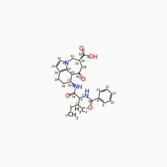 CCC(C)C(NC(=O)c1ccccc1)C(=O)N[C@H]1CCc2ccn3c2C1C(=O)C[C@H](C(=O)O)C3